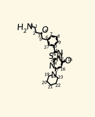 NCCC(=O)Cc1cccc(-c2nn3c(=O)cc(N4CCCCC4)nc3s2)c1